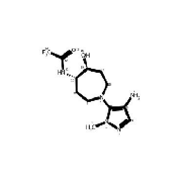 Cn1ncc(N)c1N1CC[C@H](NC(=O)C(F)(F)F)[C@@H](O)CC1